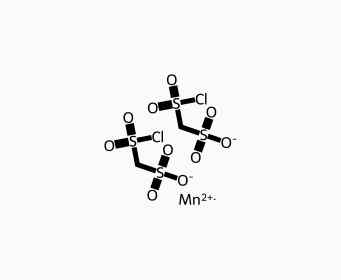 O=S(=O)([O-])CS(=O)(=O)Cl.O=S(=O)([O-])CS(=O)(=O)Cl.[Mn+2]